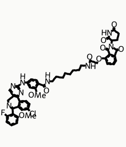 COc1cc(Nc2ncc3c(n2)-c2ccc(Cl)cc2C(c2c(F)cccc2OC)=NC3)ccc1C(=O)NCCCCCCCCNC(=O)COc1cccc2c1C(=O)N(C1CCC(=O)NC1=O)C2=O